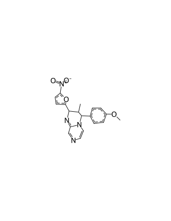 COc1ccc(C2C(C)C(c3ccc([N+](=O)[O-])o3)N=C3C=NC=CN32)cc1